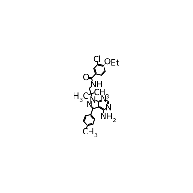 CCOc1ccc(C(=O)NCC(C)(C)n2nc(-c3ccc(C)cc3)c3c(N)ncnc32)cc1Cl